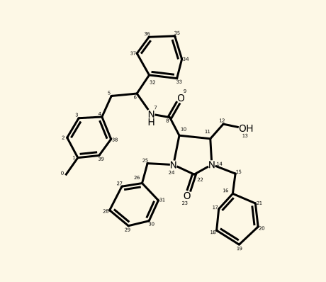 Cc1ccc(CC(NC(=O)C2C(CO)N(Cc3ccccc3)C(=O)N2Cc2ccccc2)c2ccccc2)cc1